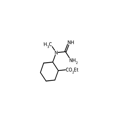 CCOC(=O)C1CCCCC1N(C)C(=N)N